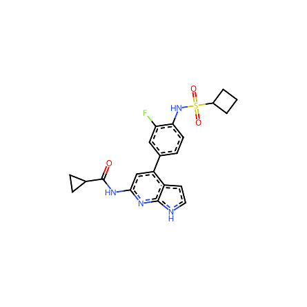 O=C(Nc1cc(-c2ccc(NS(=O)(=O)C3CCC3)c(F)c2)c2cc[nH]c2n1)C1CC1